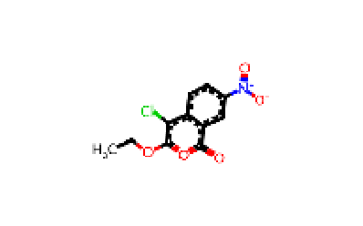 CCOc1oc(=O)c2cc([N+](=O)[O-])ccc2c1Cl